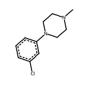 CN1CCN(c2[c]ccc(Cl)c2)CC1